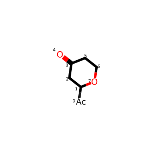 CC(=O)C1CC(=O)CCO1